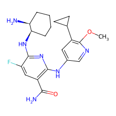 COc1ncc(Nc2nc(N[C@@H]3CCCC[C@@H]3N)c(F)cc2C(N)=O)cc1C1CC1